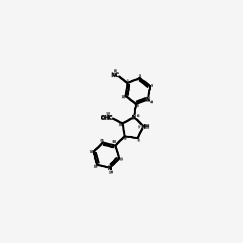 N#Cc1ccnc(N2NCC(c3cccnc3)C2C=O)c1